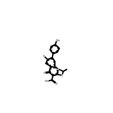 CC1Sc2c(C(=O)O)c(=O)c3cc(F)c(-c4ccc(O)cc4)cc3n21